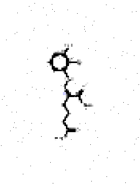 COC(=O)CCC/C(=N/Nc1cccc(Cl)c1Br)C(=O)OC